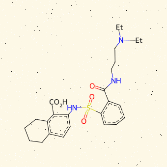 CCN(CC)CCCNC(=O)c1ccccc1S(=O)(=O)Nc1ccc2c(c1C(=O)O)CCCC2